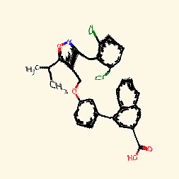 CC(C)c1onc(-c2c(Cl)cccc2Cl)c1COc1cccc(-c2cc(C(=O)O)cc3ccccc23)c1